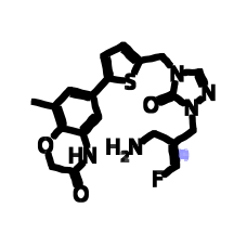 Cc1cc(-c2ccc(Cn3cnn(C/C(=C/F)CN)c3=O)s2)cc2c1OCC(=O)N2